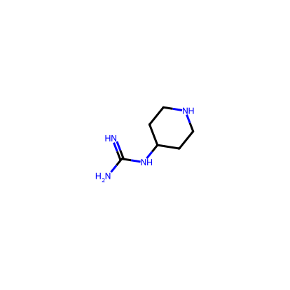 N=C(N)NC1CCNCC1